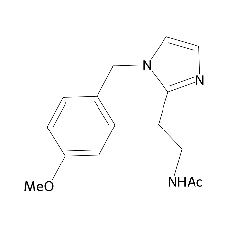 COc1ccc(Cn2ccnc2CCNC(C)=O)cc1